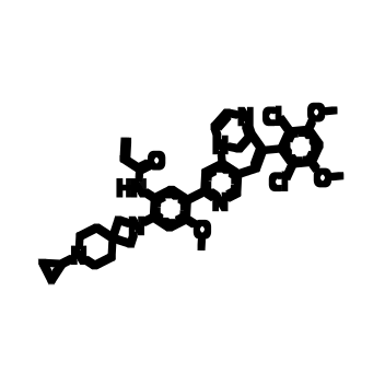 C=CC(=O)Nc1cc(-c2cc3c(cn2)C=C(c2c(Cl)c(OC)cc(OC)c2Cl)C2=NC=CN3C2)c(OC)cc1N1CC2(CCN(C3CC3)CC2)C1